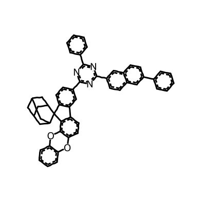 c1ccc(-c2ccc3cc(-c4nc(-c5ccccc5)nc(-c5ccc6c(c5)-c5ccc7c(c5C65C6CC8CC(C6)CC5C8)Oc5ccccc5O7)n4)ccc3c2)cc1